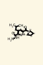 CC(C)Cc1cc(C(=O)N2CCCC2)nnc1C(=O)NN